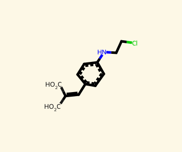 O=C(O)C(=Cc1ccc(NCCCl)cc1)C(=O)O